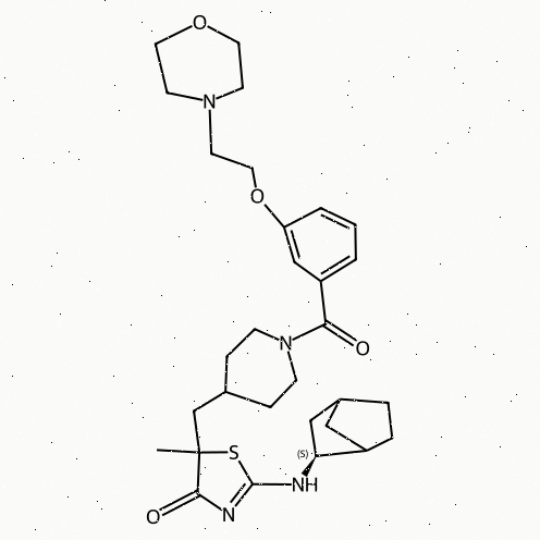 CC1(CC2CCN(C(=O)c3cccc(OCCN4CCOCC4)c3)CC2)SC(N[C@H]2CC3CCC2C3)=NC1=O